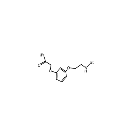 CCNCCOc1cccc(OCC(=O)C(C)C)c1